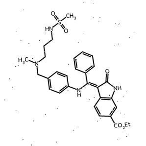 CCOC(=O)c1ccc2c(c1)NC(=O)C2=C(Nc1ccc(CN(C)CCCNS(C)(=O)=O)cc1)c1ccccc1